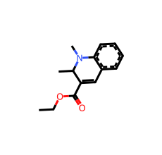 CCOC(=O)C1=Cc2ccccc2N(C)C1C